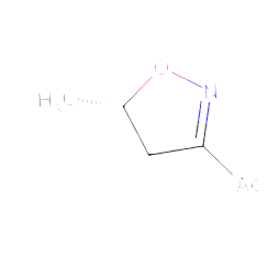 CC(=O)C1=NO[C@@H](C)C1